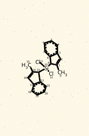 CC1=Cc2ccccc2C1[Si](Cl)(Cl)C1C(C)=Cc2ccccc21